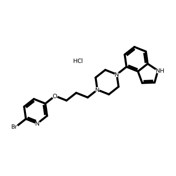 Brc1ccc(OCCCN2CCN(c3cccc4[nH]ccc34)CC2)cn1.Cl